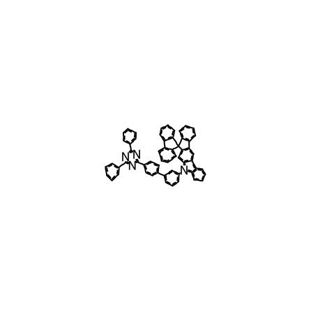 c1ccc(-c2nc(-c3ccccc3)nc(-c3ccc(-c4cccc(-n5c6ccccc6c6cc7c(cc65)C5(c6ccccc6-c6ccccc65)c5ccccc5-7)c4)cc3)n2)cc1